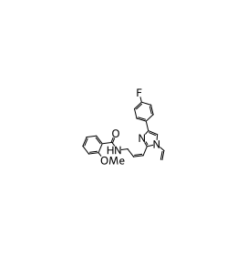 C=Cn1cc(-c2ccc(F)cc2)nc1/C=C\CNC(=O)c1ccccc1OC